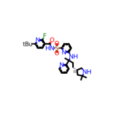 CC1(C)C[C@H](CCC(C)(Nc2cccc(S(=O)(=O)NC(=O)c3ccc(C(C)(C)C)nc3F)n2)c2ccccn2)CN1